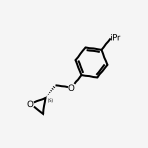 CC(C)c1ccc(OC[C@@H]2CO2)cc1